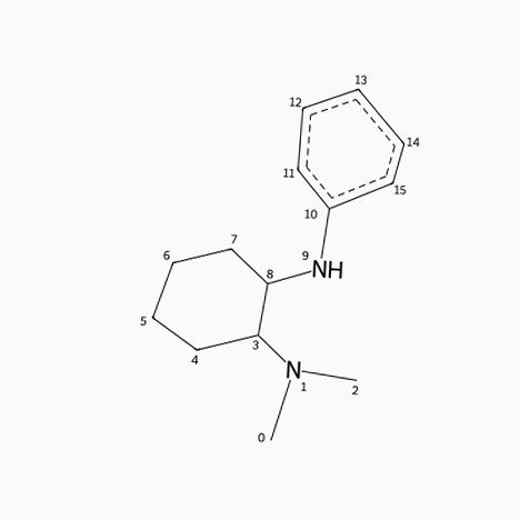 CN(C)C1CCCCC1Nc1ccccc1